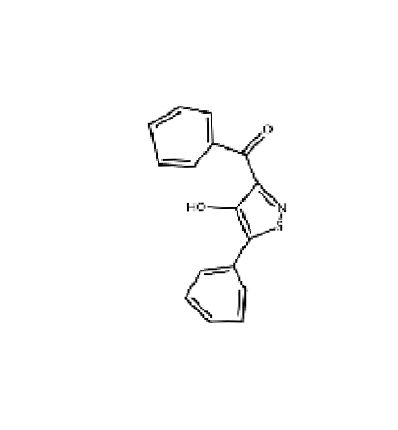 O=C(c1ccccc1)c1nsc(-c2ccccc2)c1O